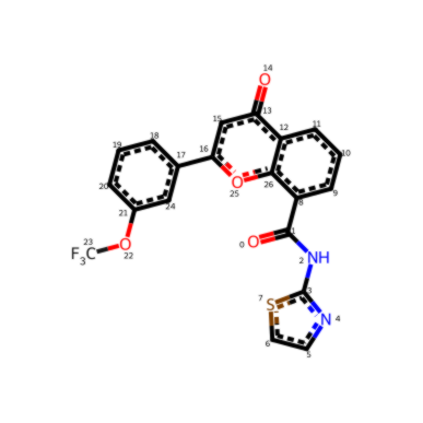 O=C(Nc1nccs1)c1cccc2c(=O)cc(-c3cccc(OC(F)(F)F)c3)oc12